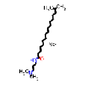 CC(C)CCCCCCCCCCCCCCC(=O)NCCCN(C)C.[Na]